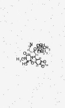 CN1C(=O)[C@H](CCC#N)N(C(CCO[Si](C)(C)C(C)(C)C)c2ccc3c(c2)OCO3)C(=O)[C@H]1S